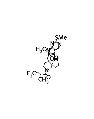 CSc1ncc2c(=O)n(CC3(O)CCN(C(=O)[C@H](C)CC(F)(F)F)CC34CCCC4)n(C)c2n1